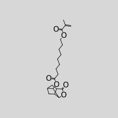 C=C(C)C(=O)OCCCCCCCCC(=O)OC1C2CC3C(=O)OC1C3C2